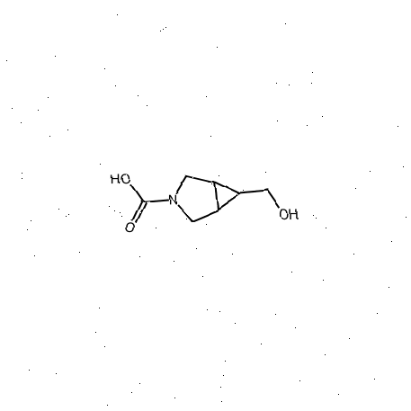 O=C(O)N1CC2C(CO)C2C1